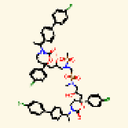 CC(c1ccc(-c2ccc(F)cc2)cc1)N1CCC(CC(O)CN(CS(=O)(=O)N(C)CC(O)CC2(c3ccc(F)cc3)CCN(C(C)c3ccc(-c4ccc(F)cc4)cc3)C(=O)O2)S(C)(=O)=O)(c2ccc(F)cc2)OC1=O